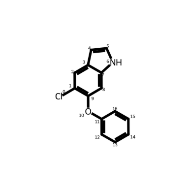 Clc1cc2cc[nH]c2cc1Oc1ccccc1